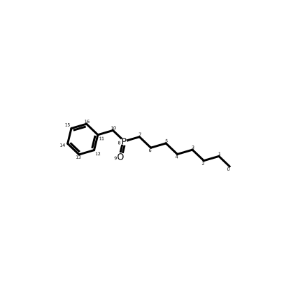 CCCCCCCC[P](=O)Cc1ccccc1